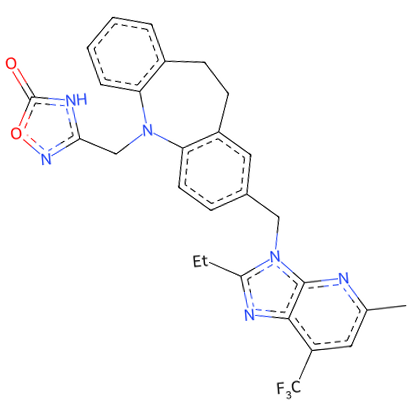 CCc1nc2c(C(F)(F)F)cc(C)nc2n1Cc1ccc2c(c1)CCc1ccccc1N2Cc1noc(=O)[nH]1